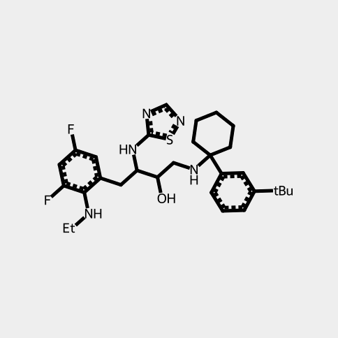 CCNc1c(F)cc(F)cc1CC(Nc1ncns1)C(O)CNC1(c2cccc(C(C)(C)C)c2)CCCCC1